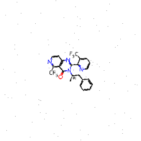 C[C@H](Cc1ccccc1)n1c(-c2ncccc2C(F)(F)F)nc2ccnc(C(F)(F)F)c2c1=O